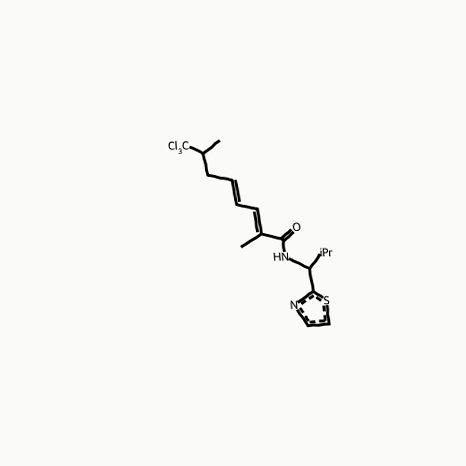 C/C(=C\C=C\CC(C)C(Cl)(Cl)Cl)C(=O)NC(c1nccs1)C(C)C